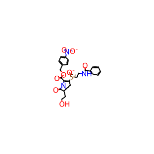 O=C(OCc1ccc([N+](=O)[O-])cc1)C1=C([S+]([O-])CCNC(=O)c2ccccc2)CC2C(CCO)C(=O)N12